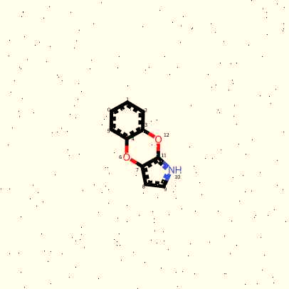 c1ccc2c(c1)Oc1cc[nH]c1O2